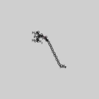 C=[SH](/C)=N/OCC(=O)N[C@@H](CC(C)C)C(=O)N[C@@H](CCCNC(N)=O)C(=O)Nc1ccc(COC(=O)NCc2cn(CCOCCOCCOCCOCCOCCOCCOCCOCCOCCOCCOCCOCCOCC(C)SC)nn2)cc1